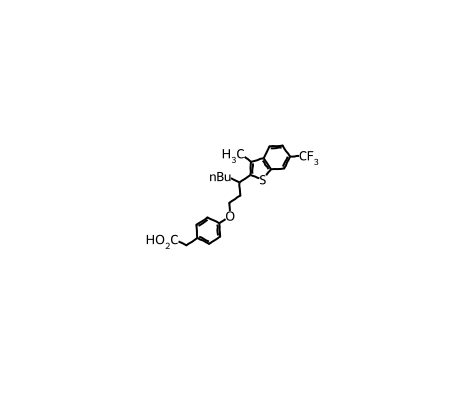 CCCCC(CCOc1ccc(CC(=O)O)cc1)c1sc2cc(C(F)(F)F)ccc2c1C